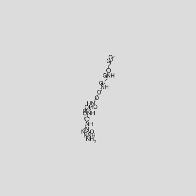 CC(=O)CC(=O)CCc1ccc(NC(=O)CCCC(=O)NCCOCCOCCNC(=O)CCC(NC(=O)c2ccc(NCc3cnc4nc(N)[nH]c(=O)c4n3)cc2)C(=O)O)cc1